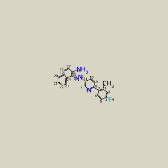 Cc1cc(F)ccc1-c1ccc(/N=N/c2c(N)ccc3ccccc23)cn1